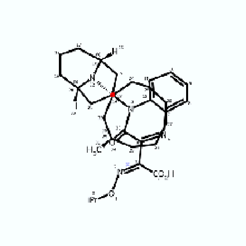 CC(C)O/N=C(\C(=O)O)c1nc2ccccc2n(C2C[C@H]3CCC[C@@H](C2)N3[C@@H]2CCCCCC[C@@H](C)C2)c1=O